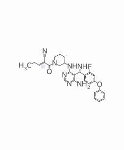 CC/C=C(\C#N)C(=O)N1CCCC(Nc2ncnc(N)c2C(=N)c2ccc(Oc3ccccc3)cc2F)C1